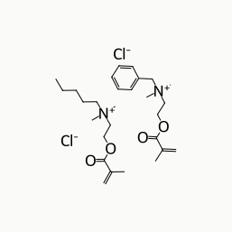 C=C(C)C(=O)OCC[N+](C)(C)CCCCC.C=C(C)C(=O)OCC[N+](C)(C)Cc1ccccc1.[Cl-].[Cl-]